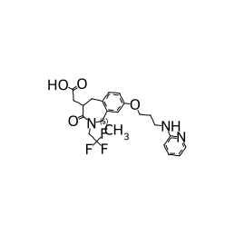 C[C@H]1c2cc(OCCCNc3ccccn3)ccc2CC(CC(=O)O)C(=O)N1CC(F)(F)F